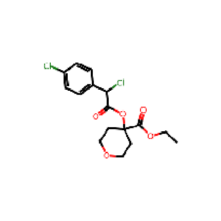 CCOC(=O)C1(OC(=O)C(Cl)c2ccc(Cl)cc2)CCOCC1